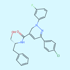 O=C(N[C@@H](CO)Cc1ccccc1)C1=CC(c2ccc(Cl)cc2)=NN(c2cccc(F)c2)C1